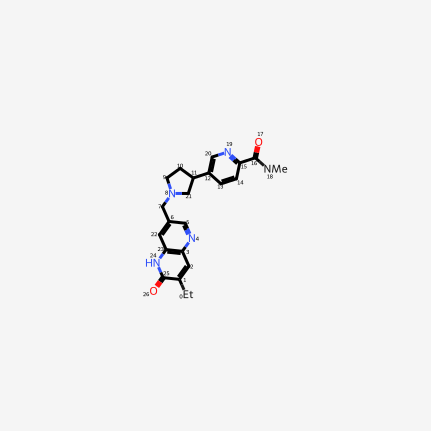 CCc1cc2ncc(CN3CCC(c4ccc(C(=O)NC)nc4)C3)cc2[nH]c1=O